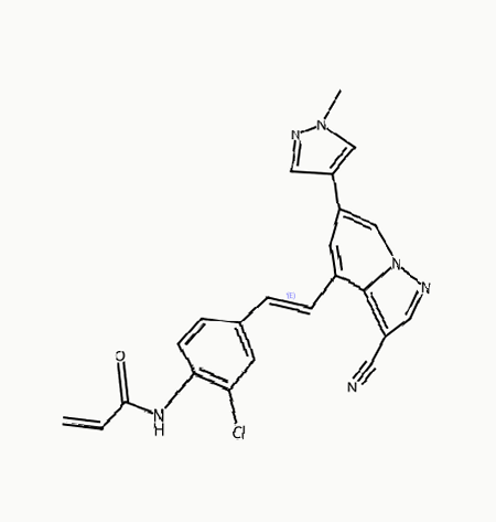 C=CC(=O)Nc1ccc(/C=C/c2cc(-c3cnn(C)c3)cn3ncc(C#N)c23)cc1Cl